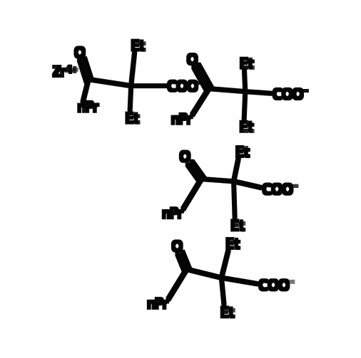 CCCC(=O)C(CC)(CC)C(=O)[O-].CCCC(=O)C(CC)(CC)C(=O)[O-].CCCC(=O)C(CC)(CC)C(=O)[O-].CCCC(=O)C(CC)(CC)C(=O)[O-].[Zr+4]